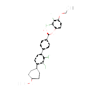 CCOc1ccc(OC(=O)c2ccc(-c3ccc(C4CCC(OC)CC4)c(F)c3F)cc2)c(F)c1F